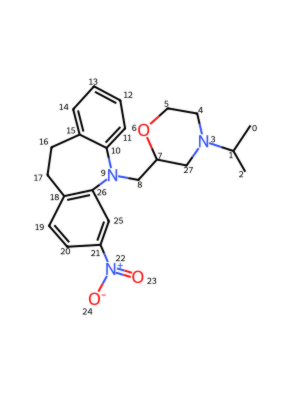 CC(C)N1CCOC(CN2c3ccccc3CCc3ccc([N+](=O)[O-])cc32)C1